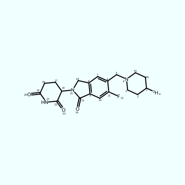 [2H]C1CCN(Cc2cc3c(cc2F)C(=O)N(C2CCC(=O)NC2=O)C3)CC1